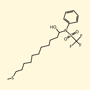 CSCCCCCCCCCCC(O)N(c1ccccc1)S(=O)(=O)C(F)(F)F